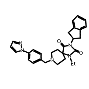 CCN1C(=O)N(C2Cc3ccccc3C2)C(=O)C12CCN(Cc1ccc(-n3cccn3)cc1)CC2